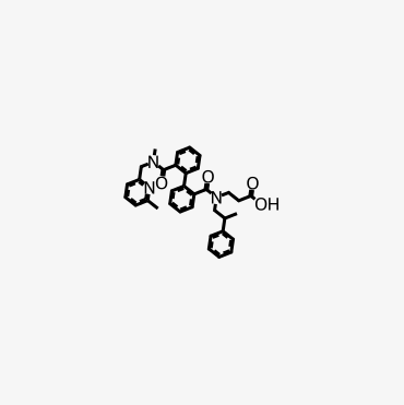 Cc1cccc(CN(C)C(=O)c2ccccc2-c2ccccc2C(=O)N(CCC(=O)O)CC(C)c2ccccc2)n1